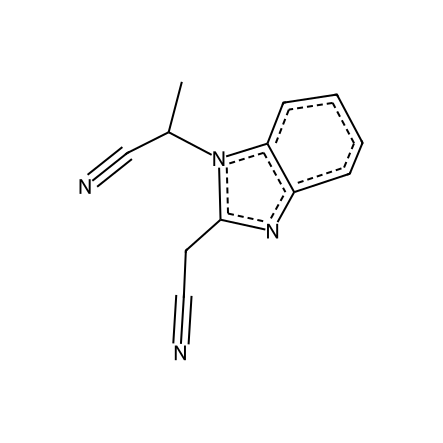 CC(C#N)n1c(CC#N)nc2ccccc21